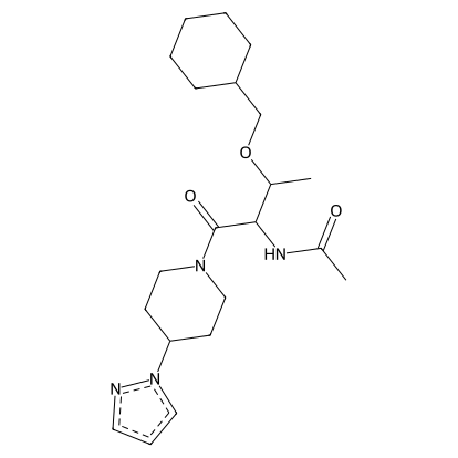 CC(=O)NC(C(=O)N1CCC(n2cccn2)CC1)C(C)OCC1CCCCC1